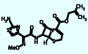 C=C(C)COC(=O)C1=CCS[C@H]2C(NC(=O)C(=NOC)c3csc(N)n3)C(=O)N12